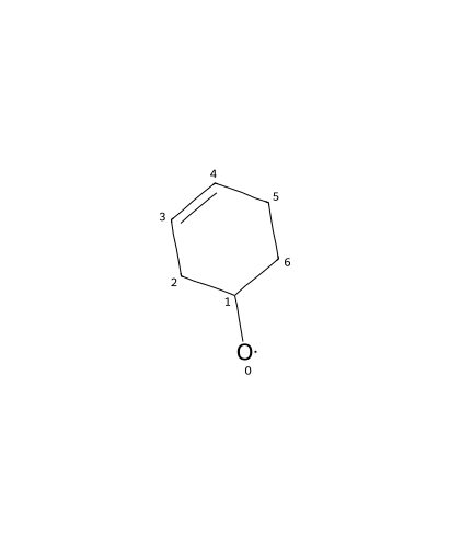 [O]C1CC=CCC1